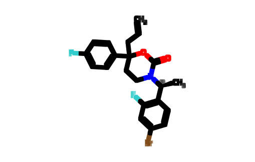 C=CCC1(c2ccc(F)cc2)CCN([C@@H](C)c2ccc(Br)cc2F)C(=O)O1